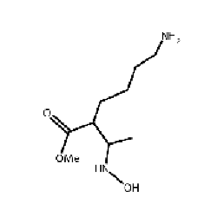 COC(=O)C(CCCCN)C(C)NO